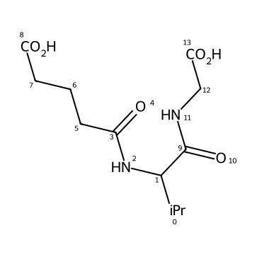 CC(C)C(NC(=O)CCCC(=O)O)C(=O)NCC(=O)O